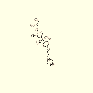 CC(C)(c1ccc(OCCCN2CCNCC2)cc1)c1ccc(OCC(O)CCl)c(Cl)c1